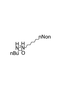 CCCCCCCCCCCCCCCCNC(=O)C(N)CCCC